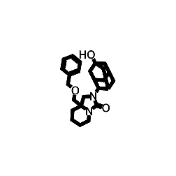 O=C1N(C2C3CC4CC2CC(O)(C4)C3)CC2(COCc3ccccc3)CCCCN12